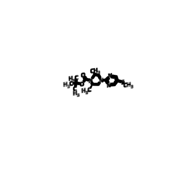 CSc1cnc(N2C[C@@H](C)N(C(=O)OC(C)(C)C)[C@@H](C)C2)nc1